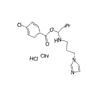 CC(C)C(NCCCn1ccnc1)OC(=O)c1ccc(Cl)cc1.Cl.Cl